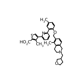 Cc1ccc(OCc2ccc3c(c2C)CCN(CC2CCOC2)C3)c(-c2cccc(-c3csc(C(=O)O)c3C)n2)c1